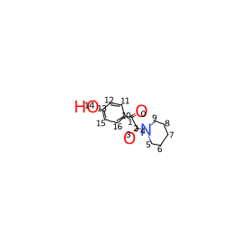 O=C(C(=O)N1CCCCC1)c1ccc(O)cc1